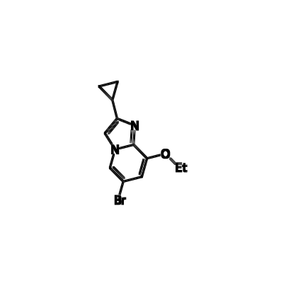 CCOc1cc(Br)cn2cc(C3CC3)nc12